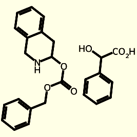 O=C(O)C(O)c1ccccc1.O=C(OCc1ccccc1)OC1Cc2ccccc2CN1